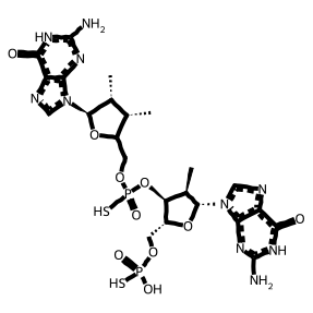 C[C@@H]1[C@H](OP(=O)(S)OCC2O[C@@H](n3cnc4c(=O)[nH]c(N)nc43)[C@H](C)[C@@H]2C)[C@@H](COP(=O)(O)S)O[C@H]1n1cnc2c(=O)[nH]c(N)nc21